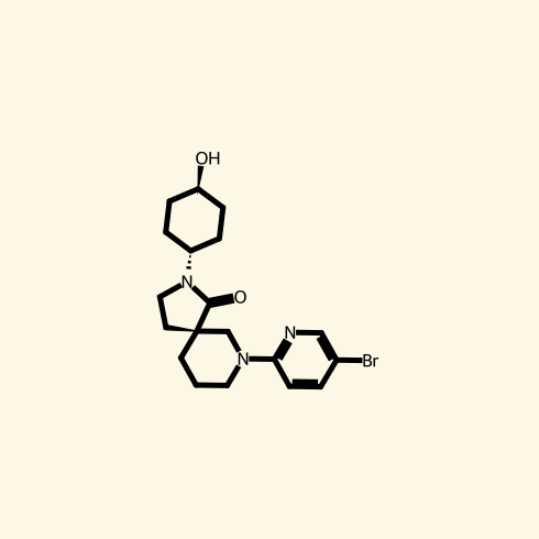 O=C1N([C@H]2CC[C@H](O)CC2)CC[C@@]12CCCN(c1ccc(Br)cn1)C2